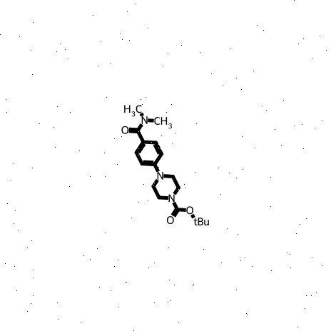 CN(C)C(=O)c1ccc(N2CCN(C(=O)OC(C)(C)C)CC2)cc1